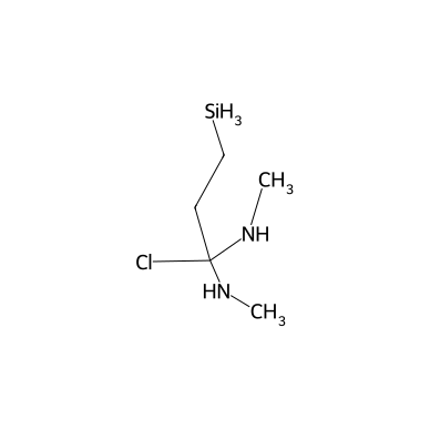 CNC(Cl)(CC[SiH3])NC